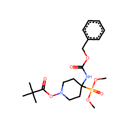 COP(=O)(OC)C1(NC(=O)OCc2ccccc2)CCN(OC(=O)C(C)(C)C)CC1